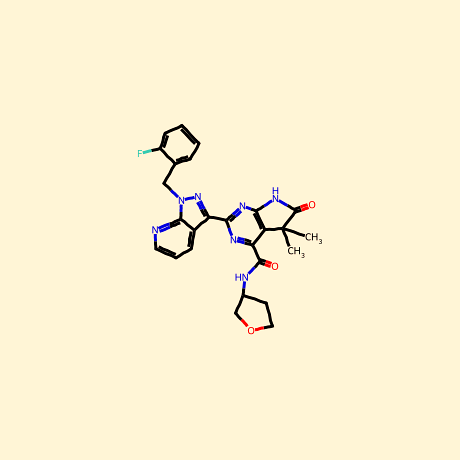 CC1(C)C(=O)Nc2nc(-c3nn(Cc4ccccc4F)c4ncccc34)nc(C(=O)NC3CCOC3)c21